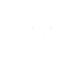 CC(=O)OC1N=C(c2ccccc2F)c2cc(Cl)ccc2-n2c(C)cnc21